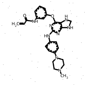 C=CC(=O)Nc1cccc(Oc2nc(Nc3ccc(N4CCN(C)CC4)cc3)nc3c2NCN3)c1